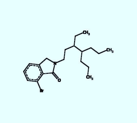 CCCC(CCC)C(CC)CCN1Cc2cccc(Br)c2C1=O